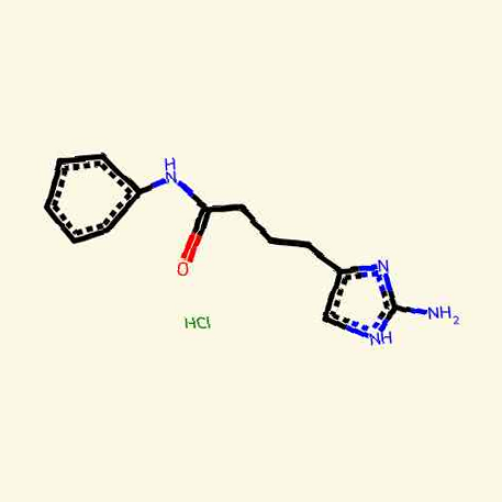 Cl.Nc1nc(CCCC(=O)Nc2ccccc2)c[nH]1